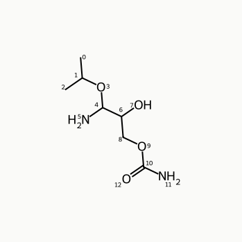 CC(C)OC(N)C(O)COC(N)=O